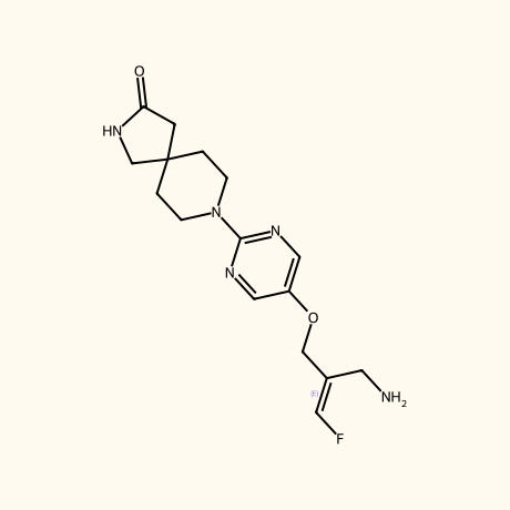 NC/C(=C\F)COc1cnc(N2CCC3(CC2)CNC(=O)C3)nc1